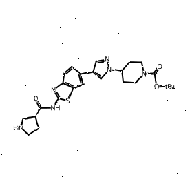 CC(C)(C)OC(=O)N1CCC(n2cc(-c3ccc4nc(NC(=O)[C@H]5CCNC5)sc4c3)cn2)CC1